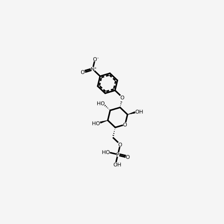 O=[N+]([O-])c1ccc(O[C@H]2[C@@H](O)[C@H](O)[C@@H](COP(=O)(O)O)O[C@@H]2O)cc1